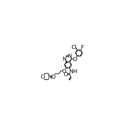 C=CC(=O)Nc1cc2c(Oc3ccc(F)c(Cl)c3)ncnc2cc1OCCCON1CCOCC1